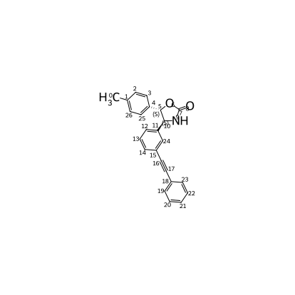 Cc1ccc([C@@H]2OC(=O)N[C@H]2c2cccc(C#Cc3ccccc3)c2)cc1